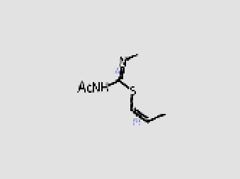 C/C=C\S/C(=N\C)NC(C)=O